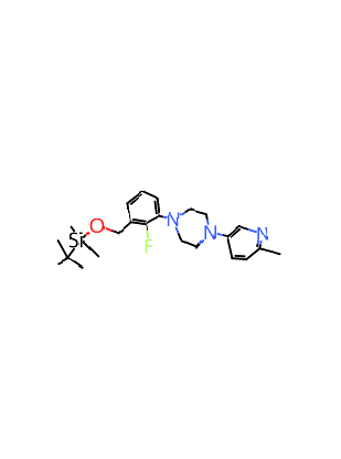 Cc1ccc(N2CCN(c3cccc(CO[Si](C)(C)C(C)(C)C)c3F)CC2)cn1